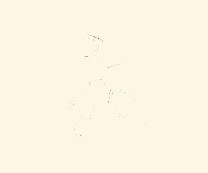 CCC(C(Nc1ccc(OC)cc1)c1ccc(Cl)cc1)n1cncn1